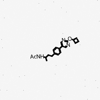 CC(=O)NC(C)CCc1ccc(-c2cnc(OC3CCC3)nc2)cc1